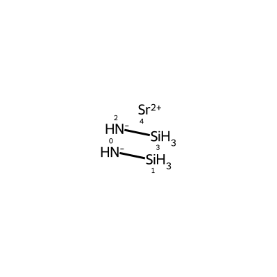 [NH-][SiH3].[NH-][SiH3].[Sr+2]